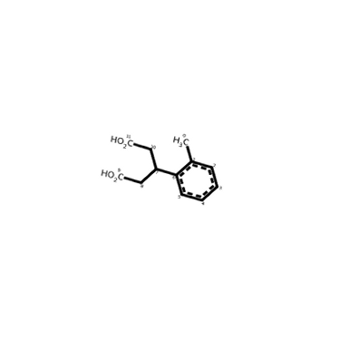 Cc1ccccc1C(CC(=O)O)CC(=O)O